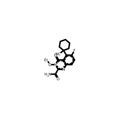 CCOn1c(C(N)=O)nc2ccc(F)c(C3(C#N)CCCCC3)c2c1=O